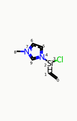 C=C[SiH](Cl)n1cc[n+](C)c1